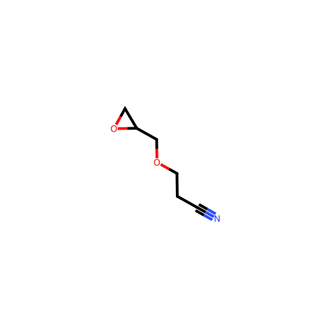 N#CCCOCC1CO1